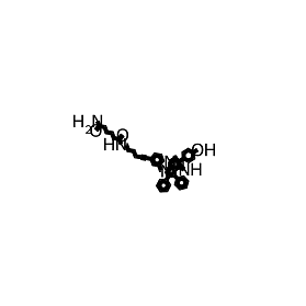 N=c1c2c(-c3ccccc3)c(-c3ccccc3)n(Cc3cccc(C#CCCCCNC(=O)CCCCC(N)=O)c3)c2ncn1C1CCC(O)CC1